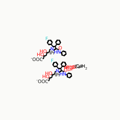 CC(C)c1c(C(=O)Nc2ccccc2)c(-c2ccccc2)c(-c2ccc(F)cc2)n1CC[C@@H](O)C[C@@H](O)CC(=O)[O-].CC(C)c1c(C(=O)Nc2ccccc2)c(-c2ccccc2)c(-c2ccc(F)cc2)n1CC[C@@H](O)C[C@@H](O)CC(=O)[O-].O.O.O.[Ca+2].[CaH2]